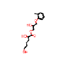 Cc1ccccc1OCC(O)COC(=O)C(O)CCCCO